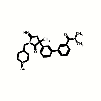 CC(=O)N1CCC(CN2C(=N)CC(C)(c3cccc(-c4cccc(C(=O)N(C)C)c4)c3)C2=O)CC1